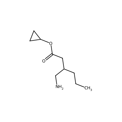 CCCC(CN)CC(=O)OC1CC1